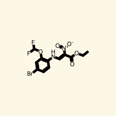 CCOC(=O)C(=CNc1ccc(Br)cc1OC(F)F)[N+](=O)[O-]